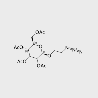 CC(=O)OC[C@H]1O[C@@H](OCCN=[N+]=[N-])C(OC(C)=O)C(OC(C)=O)[C@@H]1OC(C)=O